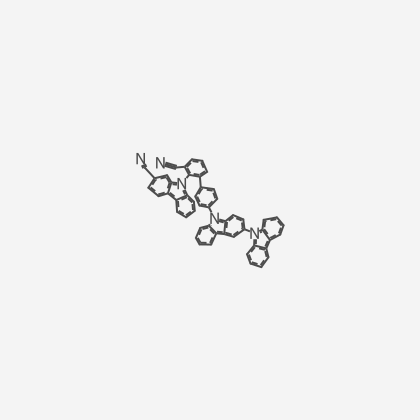 N#Cc1ccc2c3ccccc3n(-c3c(C#N)cccc3-c3ccc(-n4c5ccccc5c5cc(-n6c7ccccc7c7ccccc76)ccc54)cc3)c2c1